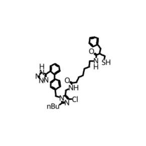 CCCCc1nc(Cl)c(CNC(=O)CCCCCCNC(=O)C(CS)Cc2ccccc2)n1Cc1ccc(-c2ccccc2-c2nnn[nH]2)cc1